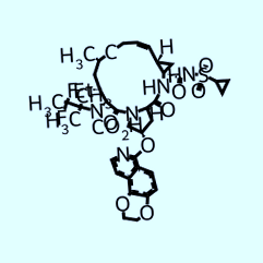 CC[C@@H]1C[C@@H](C)CCC=C[C@@H]2C[C@@]2(C(=O)NS(=O)(=O)C2CC2)NC(=O)[C@@H]2C[C@@H](Oc3nccc4c5c(ccc34)OCCO5)CN2C(=O)[C@H]1N(C(=O)O)C(C)(C)C(C)(F)F